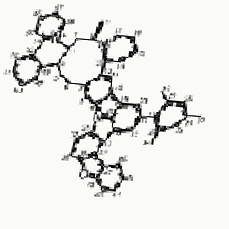 C=C1CC2C(CCc3cc4c(cc3-c3cccc[n+]31)c1cc(-c3c(C)cc(C)cc3C)cc3c5c6c(ccc5n4c13)oc1ccccc16)c1ccccc1-c1cccc[n+]12